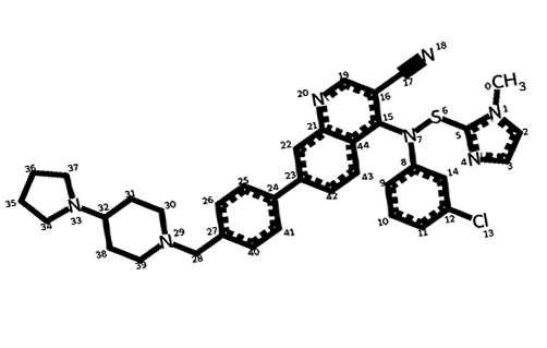 Cn1ccnc1SN(c1cccc(Cl)c1)c1c(C#N)cnc2cc(-c3ccc(CN4CCC(N5CCCC5)CC4)cc3)ccc12